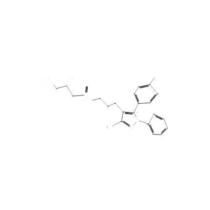 CC(C)c1nn(-c2ccccc2)c(-c2ccc(F)cc2)c1CCCO[PH](=O)C[C@@H](O)CC(=O)O